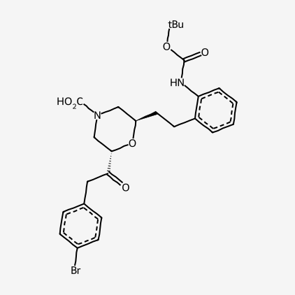 CC(C)(C)OC(=O)Nc1ccccc1CC[C@@H]1CN(C(=O)O)C[C@@H](C(=O)Cc2ccc(Br)cc2)O1